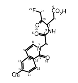 O=C(O)CC(NC(=O)Cn1ccc2cc(Cl)ccc2c1=O)C(=O)CF